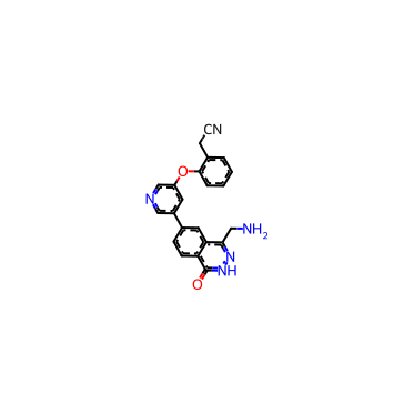 N#CCc1ccccc1Oc1cncc(-c2ccc3c(=O)[nH]nc(CN)c3c2)c1